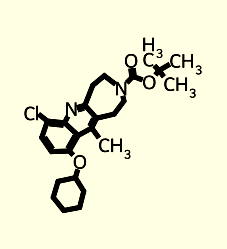 Cc1c2c(nc3c(Cl)ccc(OC4CCCCC4)c13)CCN(C(=O)OC(C)(C)C)CC2